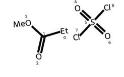 CCC(=O)OC.O=S(=O)(Cl)Cl